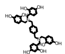 Oc1ccc(CN(Cc2ccc(CN(Cc3ccc(O)cc3O)Cc3ccc(O)cc3O)cc2)Cc2ccc(O)cc2O)c(O)c1